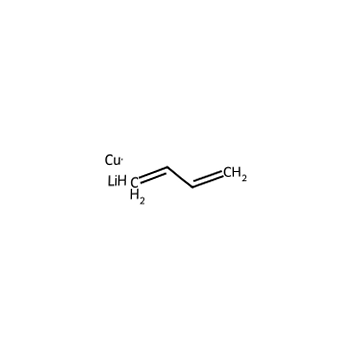 C=CC=C.[Cu].[LiH]